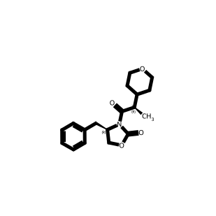 C[C@@H](C(=O)N1C(=O)OC[C@H]1Cc1ccccc1)C1CCOCC1